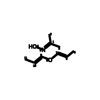 CC(C)=NO.CC=COC=CC